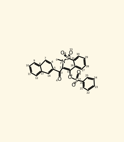 CN1C(C(=O)c2ccc3ccccc3c2)=C(OS(=O)(=O)c2ccccc2)c2ccccc2S1(=O)=O